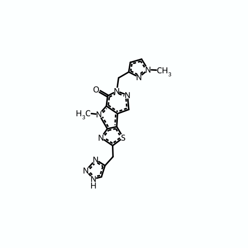 Cn1ccc(Cn2ncc3c4sc(Cc5c[nH]nn5)nc4n(C)c3c2=O)n1